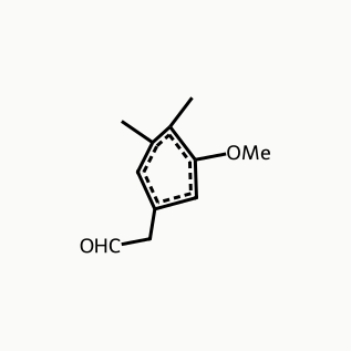 COc1cc(CC=O)cc(C)c1C